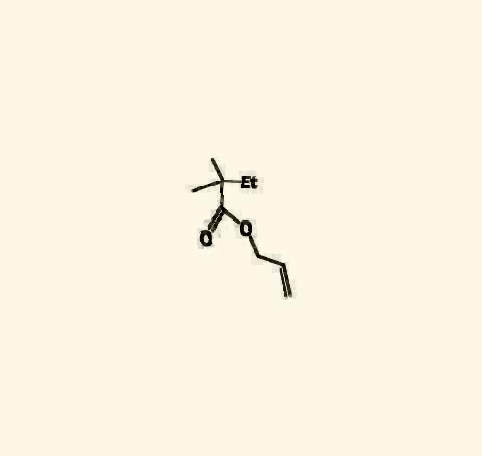 C=CCOC(=O)C(C)(C)CC